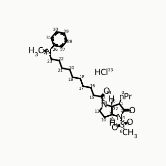 CCC[C@H]1C(=O)N(S(C)(=O)=O)[C@H]2CCN(C(=O)CCCCCCCCCN(C)c3ccccc3)[C@H]12.Cl